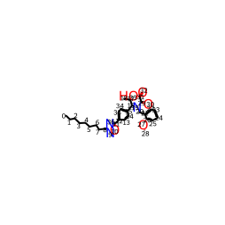 CCCCCCCCc1noc(-c2ccc(C(CC)N(Cc3ccccc3OC)C(=O)C(=O)O)cc2)n1